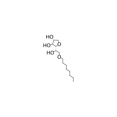 CCCCCCCCOCC(O)[C@H]1OC[C@@H](O)C1O